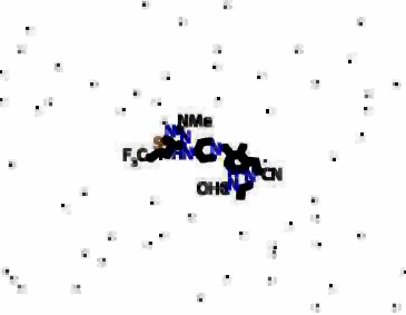 C=C(Cn1c(C#N)cc2c(C)c(CN3CCC(Nc4nc(NC)nc5sc(CC(F)(F)F)cc45)CC3)ccc21)NC=O